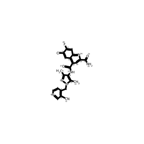 Cc1nn(Cc2ccncc2C#N)c(C)c1NC(=O)c1cc(C(N)=O)nc2cc(F)c(Cl)cc12